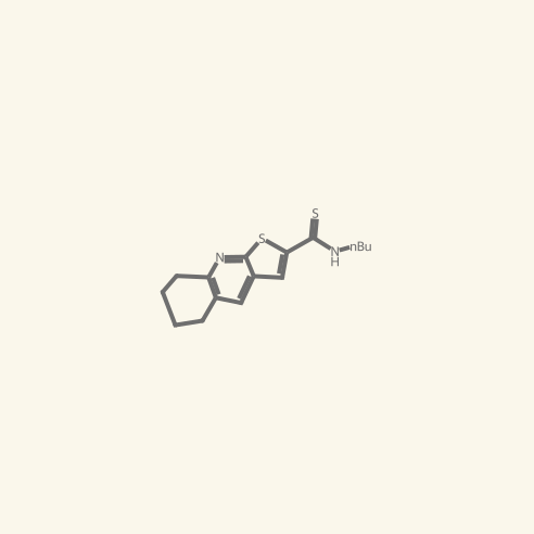 CCCCNC(=S)c1cc2cc3c(nc2s1)CCCC3